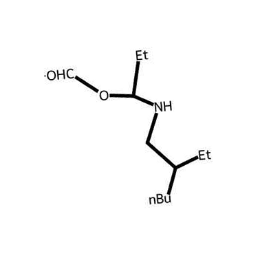 CCCCC(CC)CNC(CC)O[C]=O